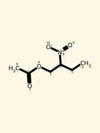 CCC(COC(C)=O)[N+](=O)[O-]